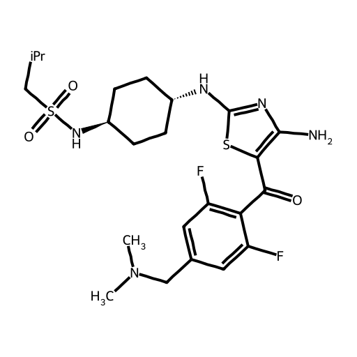 CC(C)CS(=O)(=O)N[C@H]1CC[C@H](Nc2nc(N)c(C(=O)c3c(F)cc(CN(C)C)cc3F)s2)CC1